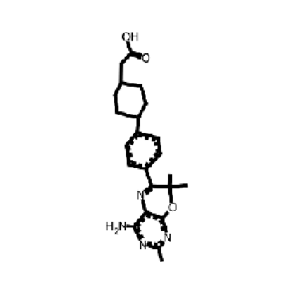 Cc1nc(N)c2c(n1)OC(C)(C)C(c1ccc(C3CCC(CC(=O)O)CC3)cc1)=N2